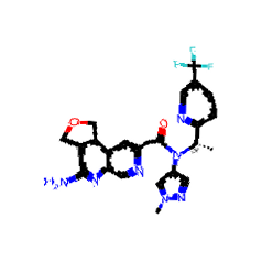 C[C@@H](c1ccc(C(F)(F)F)cn1)N(C(=O)c1cc2c3c(c(N)nc2cn1)COC3)c1cnn(C)c1